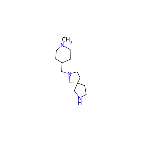 CN1CCC(CN2CCC3(CCNC3)C2)CC1